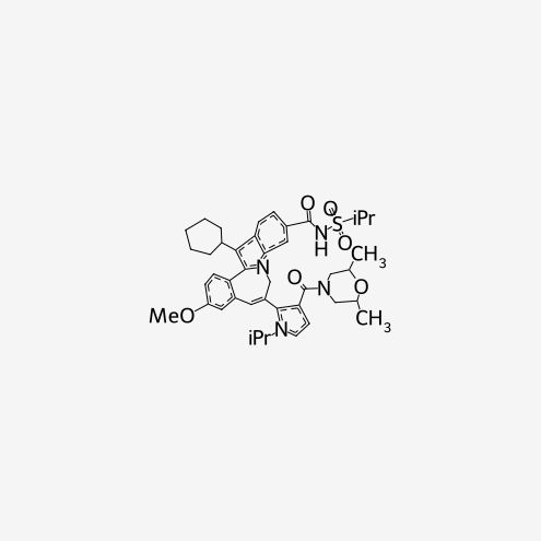 COc1ccc2c(c1)C=C(c1c(C(=O)N3CC(C)OC(C)C3)ccn1C(C)C)Cn1c-2c(C2CCCCC2)c2ccc(C(=O)NS(=O)(=O)C(C)C)cc21